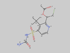 CC(=O)OC(CF)c1nccc(S(=O)(=O)NC(N)=O)c1C(C)(C)C